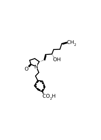 C=CCC[C@H](O)/C=C/[C@H]1CCC(=O)N1CCc1ccc(C(=O)O)cc1